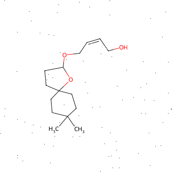 CC1(C)CCC2(CCC(OC/C=C\CO)O2)CC1